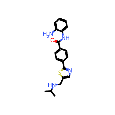 CC(C)NCc1cnc(-c2ccc(C(=O)Nc3ccccc3N)cc2)s1